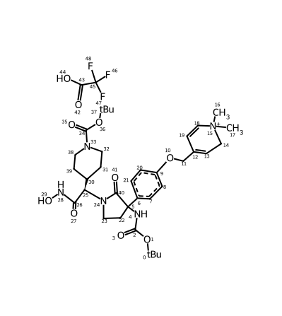 CC(C)(C)OC(=O)NC1(c2ccc(OCC3=CC[N+](C)(C)C=C3)cc2)CCN([C@@H](C(=O)NO)C2CCN(C(=O)OC(C)(C)C)CC2)C1=O.O=C(O)C(F)(F)F